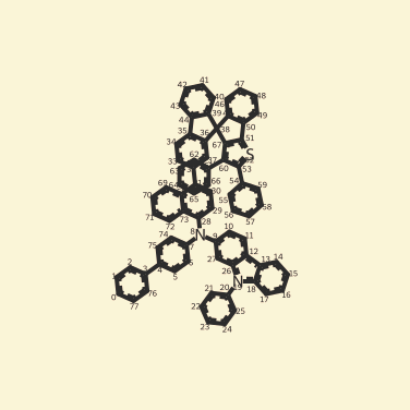 c1ccc(-c2ccc(N(c3ccc4c5ccccc5n(-c5ccccc5)c4c3)c3ccc(-c4ccc5c(c4)C4(c6ccccc6-5)c5ccccc5-c5sc(-c6ccccc6)c(-c6ccccc6)c54)c4ccccc34)cc2)cc1